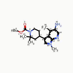 CCCCOC(=O)N1CCC(c2cn(C)c3ncc(N)c(C(F)(F)F)c23)CC1(C)C